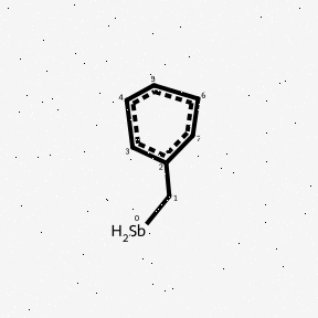 [SbH2][CH2]c1ccccc1